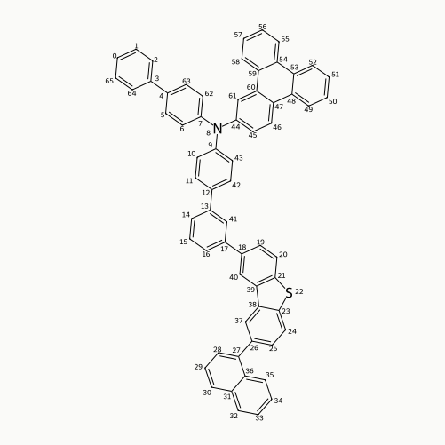 c1ccc(-c2ccc(N(c3ccc(-c4cccc(-c5ccc6sc7ccc(-c8cccc9ccccc89)cc7c6c5)c4)cc3)c3ccc4c5ccccc5c5ccccc5c4c3)cc2)cc1